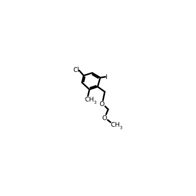 COCOCc1c(C)cc(Cl)cc1I